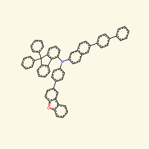 c1ccc(-c2ccc(-c3ccc4cc(N(c5ccc(-c6ccc7oc8ccccc8c7c6)cc5)c5cccc6c5-c5ccccc5C6(c5ccccc5)c5ccccc5)ccc4c3)cc2)cc1